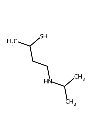 CC(S)CCNC(C)C